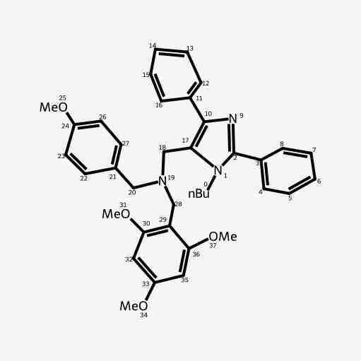 CCCCn1c(-c2ccccc2)nc(-c2ccccc2)c1CN(Cc1ccc(OC)cc1)Cc1c(OC)cc(OC)cc1OC